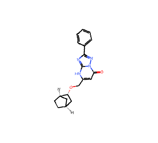 O=c1cc(CO[C@@H]2C[C@H]3CC[C@@H]2C3)[nH]c2nc(-c3ccccc3)nn12